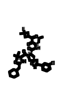 CCC[C@H](NC(=O)[C@@H]1C[C@]2(CC(c3cccc(Cl)c3)=NO2)CN1C(=O)[C@@H](NC(=O)CC1CCCCC1)C(C)(C)C)C(=O)C(=O)C1CC(C)(F)C1